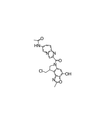 CC(=O)Nc1ccc2nc(C(=O)N3CC(CCl)c4c3cc(O)c3oc(C)nc43)cn2c1